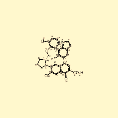 O=C(O)c1cn(-c2cc3cc[nH]c3cc2F)c2cc(N3CCC[C@@H]3COc3ncccc3Cl)c(Cl)cc2c1=O